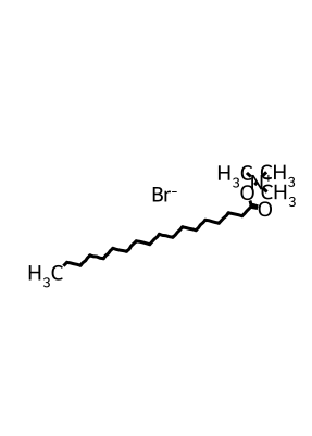 CCCCCCCCCCCCCCCCCC(=O)O[N+](C)(C)C.[Br-]